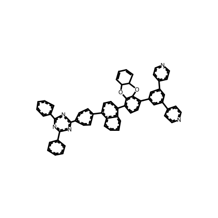 C1=CC2Oc3c(-c4cc(-c5ccncc5)cc(-c5ccncc5)c4)ccc(-c4ccc(-c5ccc(-c6nc(-c7ccccc7)nc(-c7ccccc7)n6)cc5)c5ccccc45)c3OC2C=C1